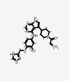 C=CC(=O)N1CCC(c2c[nH]c3ncnc(Nc4ccc(OCc5nnc[nH]5)c(Cl)c4)c23)CC1